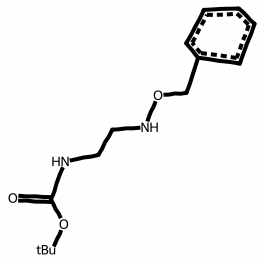 CC(C)(C)OC(=O)NCCNOCc1ccccc1